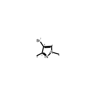 Cc1nn(C)[c]c1Br